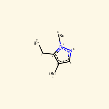 CC(C)Cc1c(C(C)(C)C)cnn1C(C)(C)C